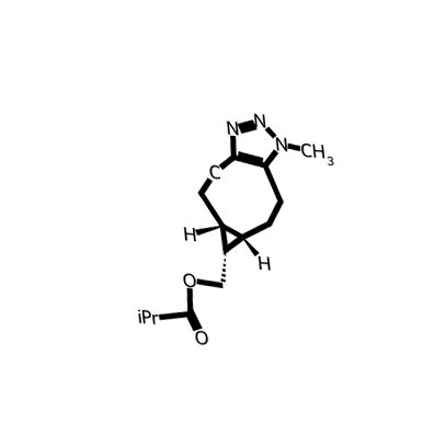 CC(C)C(=O)OC[C@@H]1[C@@H]2CCc3nnn(C)c3CC[C@@H]21